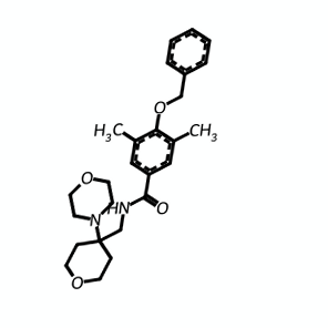 Cc1cc(C(=O)NCC2(N3CCOCC3)CCOCC2)cc(C)c1OCc1ccccc1